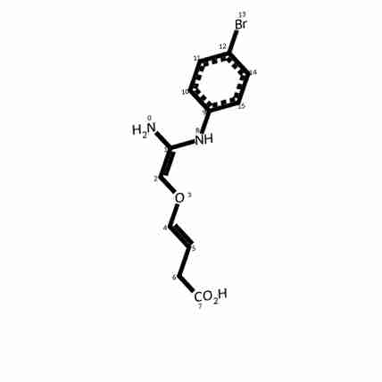 N/C(=C/O/C=C/CC(=O)O)Nc1ccc(Br)cc1